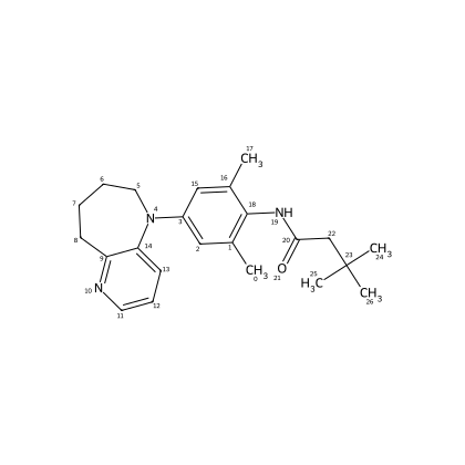 Cc1cc(N2CCCCc3ncccc32)cc(C)c1NC(=O)CC(C)(C)C